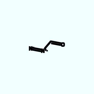 [N-]=[N+]C=O